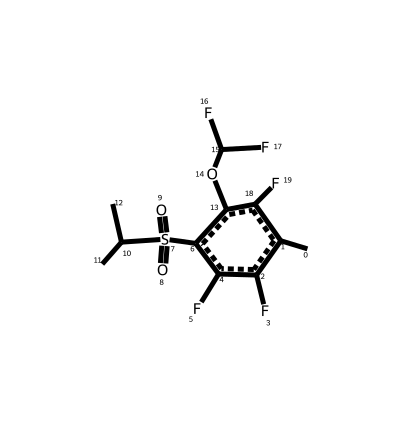 Cc1c(F)c(F)c(S(=O)(=O)C(C)C)c(OC(F)F)c1F